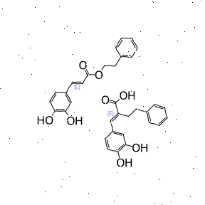 O=C(/C=C/c1ccc(O)c(O)c1)OCCc1ccccc1.O=C(O)/C(=C/c1ccc(O)c(O)c1)CCc1ccccc1